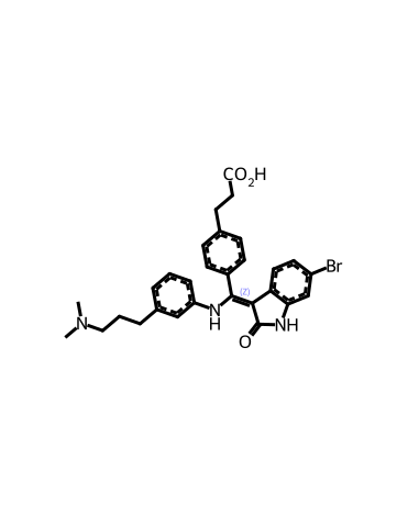 CN(C)CCCc1cccc(N/C(=C2\C(=O)Nc3cc(Br)ccc32)c2ccc(CCC(=O)O)cc2)c1